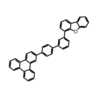 c1cc(-c2ccc(-c3ccc4c5ccccc5c5ccccc5c4c3)cc2)cc(-c2cccc3c2oc2ccccc23)c1